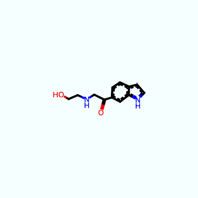 O=C(CNCCO)c1ccc2[c]c[nH]c2c1